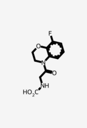 O=C(O)NCC(=O)N1CCOc2c(F)cccc21